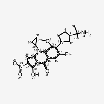 COc1c(N2CC[C@@H](C(C)(C)N)C2)c(F)cc2c(=O)c3c(O)c([N+](=O)[O-])sc3n(C3CC3)c12